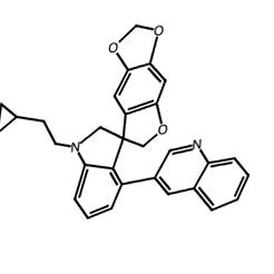 c1cc(-c2cnc3ccccc3c2)c2c(c1)N(CCC1CC1)CC21COc2cc3c(cc21)OCO3